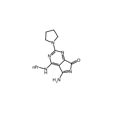 CCCNc1nc(N2CCCC2)nc2c1C(N)=NC2=O